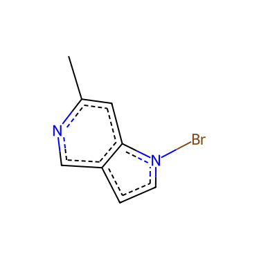 Cc1cc2c(ccn2Br)cn1